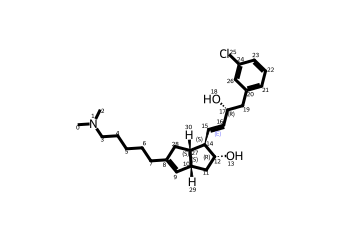 CN(C)CCCCCC1=C[C@H]2C[C@@H](O)[C@H](/C=C/[C@H](O)Cc3cccc(Cl)c3)[C@H]2C1